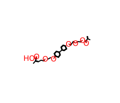 C=C(C)C(=O)OCCOCCOc1ccc(-c2ccc(OCCOCCC=C(C)C(=O)O)cc2)cc1